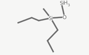 CCC[Si](C)(CCC)O[SiH3]